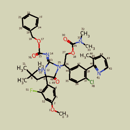 COc1ccc(C2(CC(C)(C)C)NC(=NC(=O)OCc3ccccc3)N(C(COC(=O)N(C)C)c3ccc(Cl)c(-c4ncccc4C)c3)C2=O)c(F)c1